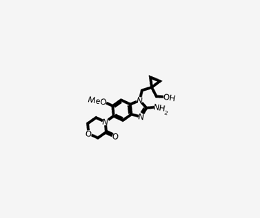 COc1cc2c(cc1N1CCOCC1=O)nc(N)n2CC1(CO)CC1